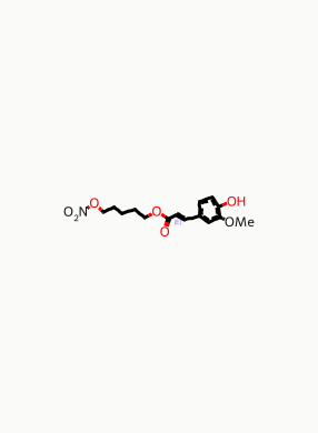 COc1cc(/C=C/C(=O)OCCCCCO[N+](=O)[O-])ccc1O